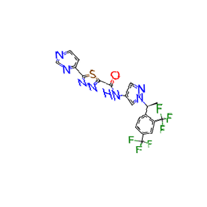 C[C@@H](c1ccc(C(F)(F)F)cc1C(F)(F)F)n1cc(NC(=O)c2nnc(-c3ccncn3)s2)cn1